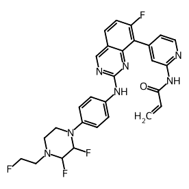 C=CC(=O)Nc1cc(-c2c(F)ccc3cnc(Nc4ccc(N5CCN(CCF)C(F)C5F)cc4)nc23)ccn1